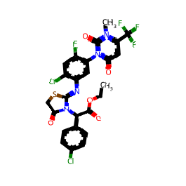 CCOC(=O)C(c1ccc(Cl)cc1)N1C(=O)CSC1=Nc1cc(-n2c(=O)cc(C(F)(F)F)n(C)c2=O)c(F)cc1Cl